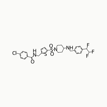 O=C(NCc1ccc(S(=O)(=O)N2CCC(NCc3ccc(C(F)C(F)F)cc3)CC2)s1)c1ccc(Cl)cc1